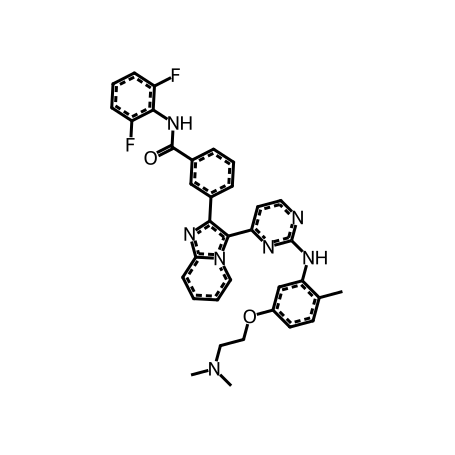 Cc1ccc(OCCN(C)C)cc1Nc1nccc(-c2c(-c3cccc(C(=O)Nc4c(F)cccc4F)c3)nc3ccccn23)n1